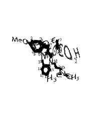 COc1ccc2cc3n(c2c1)Cc1ccccc1N(CCCN(C)C)C3=O.O=C(O)/C=C/C(=O)O